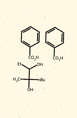 CCCCC(C)(O)C(O)CC.O=C(O)c1ccccc1.O=C(O)c1ccccc1